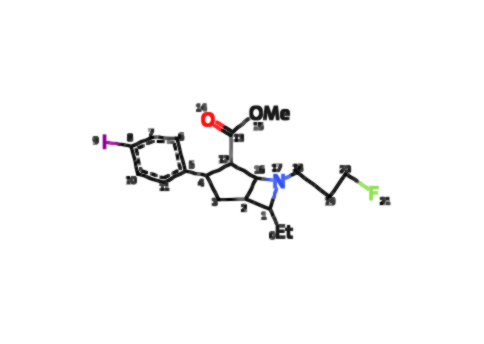 CCC1C2CC(c3ccc(I)cc3)C(C(=O)OC)C2N1CCCF